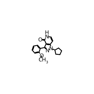 COc1ccccc1-c1nn(C2CCCC2)c2cc[nH]c(=O)c12